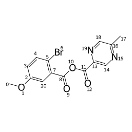 COc1ccc(Br)c(C(=O)OC(=O)c2cnc(C)cn2)c1